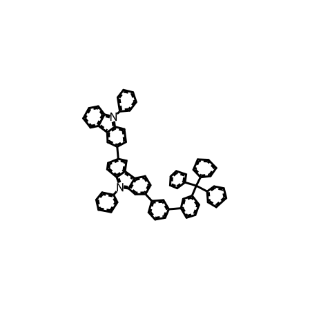 c1ccc(-n2c3ccccc3c3cc(-c4ccc5c(c4)c4ccc(-c6cccc(-c7cccc(C(c8ccccc8)(c8ccccc8)c8ccccc8)c7)c6)cc4n5-c4ccccc4)ccc32)cc1